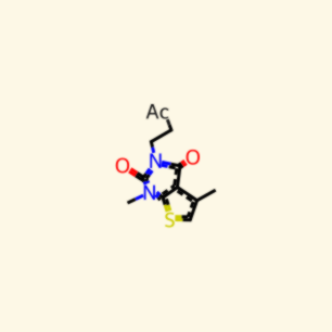 CC(=O)CCn1c(=O)c2c(C)csc2n(C)c1=O